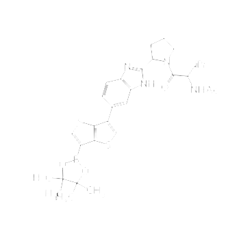 CC(=O)NC(C(=O)N1CCCC1c1nc2ccc(-c3csc4c(B5OC(C)(C)C(C)(C)O5)csc34)cc2[nH]1)C(C)C